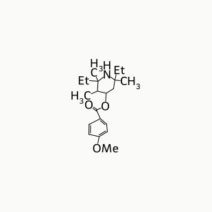 CCC1(C)CC(OC(=O)c2ccc(OC)cc2)C(C)C(C)(CC)N1